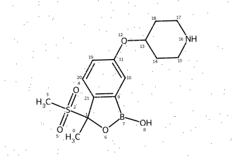 CC1(S(C)(=O)=O)OB(O)c2cc(OC3CCNCC3)ccc21